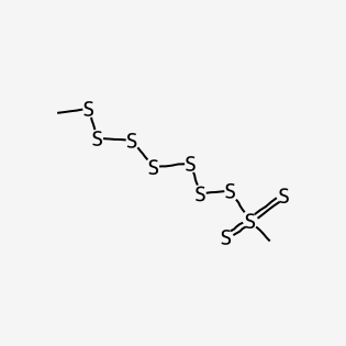 CSSSSSSSS(C)(=S)=S